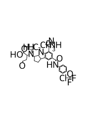 CC(C)N1c2c(-c3ccn[nH]3)cc(C(=O)Nc3ccc(OC(F)(F)Cl)cc3)cc2C2CCC(NC(CC=O)C(=O)O)C21